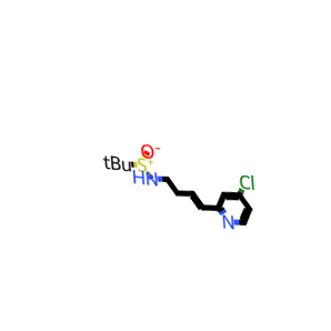 CC(C)(C)[S+]([O-])NCCC=Cc1cc(Cl)ccn1